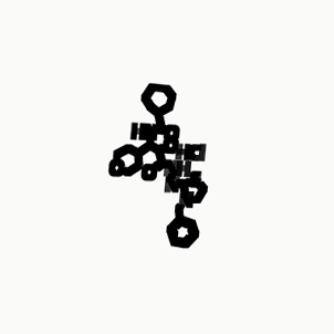 Cl.O=C(NN=C1SCCN1Cc1ccccc1)C(=O)C(NC(=O)C1CCCCCC1)C1CCOCC1